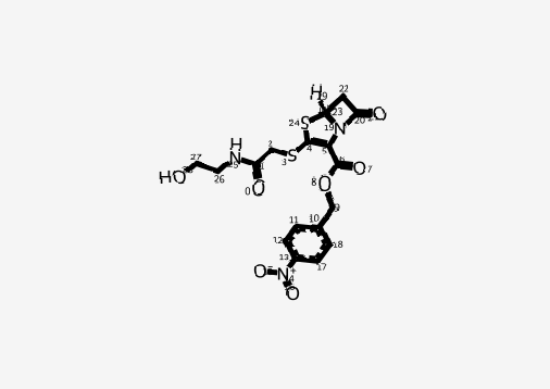 O=C(CSC1=C(C(=O)OCc2ccc([N+](=O)[O-])cc2)N2C(=O)C[C@H]2S1)NCCO